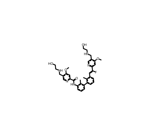 COc1cc(C(=O)Nc2cccc(-c3cccc(/C=C(\F)c4cc(OC)c(CNCCO)cn4)c3C)c2C)ncc1CNCCO